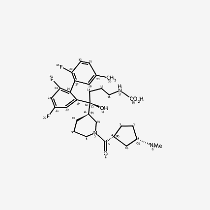 CN[C@H]1CC[C@@H](C(=O)N2CCC[C@@H]([C@@](O)(CCCNC(=O)O)c3cc(F)cc(F)c3-c3cc(C)ccc3F)C2)C1